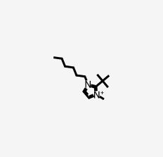 CCCCCCn1cc[n+](C)c1C(C)(C)C